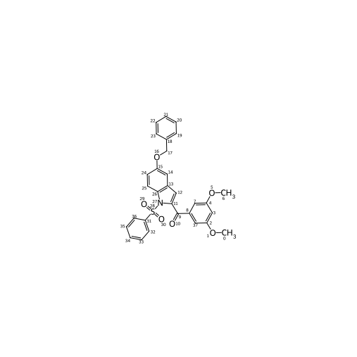 COc1cc(OC)cc(C(=O)c2cc3cc(OCc4ccccc4)ccc3n2S(=O)(=O)c2ccccc2)c1